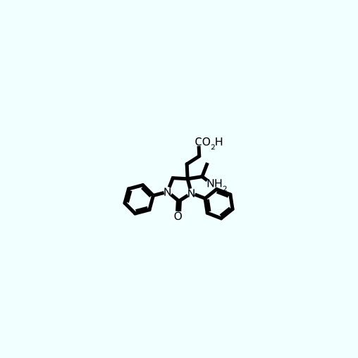 CC(N)C1(CCC(=O)O)CN(c2ccccc2)C(=O)N1c1ccccc1